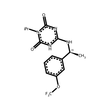 CC(C)n1c(=O)nc(N[C@@H](C)c2cccc(OC(F)(F)F)c2)[nH]c1=O